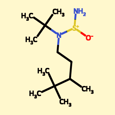 CC(CCN([S+](N)[O-])C(C)(C)C)C(C)(C)C